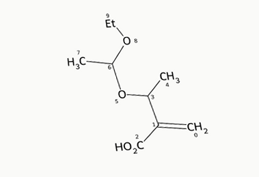 C=C(C(=O)O)C(C)OC(C)OCC